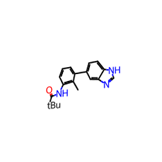 Cc1c(NC(=O)C(C)(C)C)cccc1-c1ccc2[nH]cnc2c1